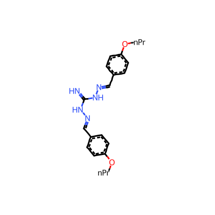 CCCOc1ccc(/C=N/NC(=N)N/N=C/c2ccc(OCCC)cc2)cc1